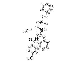 COc1ccc(C(=O)N(CC(=O)N2CCN(CCc3ccncc3)CC2)c2ccccc2)cc1.Cl